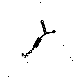 CC#CC([O])=O